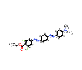 CCOC(=O)c1c(F)cc(/N=N/c2ccc(/N=N/c3ccc(N(C)C)cc3)cc2)cc1F